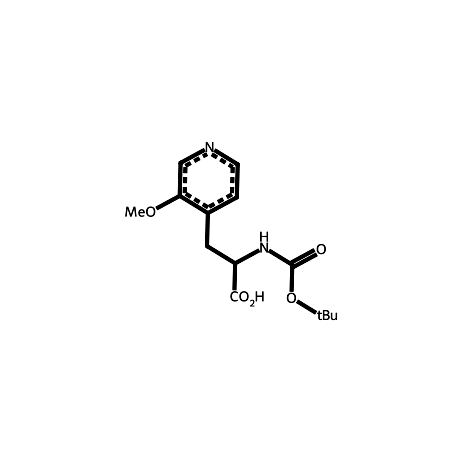 COc1cnccc1CC(NC(=O)OC(C)(C)C)C(=O)O